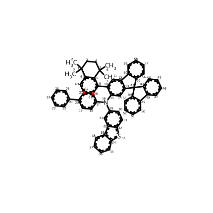 CC1(C)CCC(C)(C)c2c(-c3cc4c(cc3N(c3ccc(-c5ccccc5)cc3)c3ccc5sc6ccccc6c5c3)C3(c5ccccc5-c5ccccc53)c3ccccc3-4)cccc21